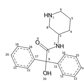 O=C(NC1CCCNC1)C(O)(c1ccccc1)c1ccccc1